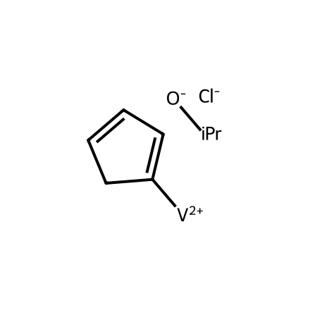 CC(C)[O-].[Cl-].[V+2][C]1=CC=CC1